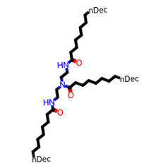 CCCCCCCCCCCCCCCCCC(=O)NCCN(CCNC(=O)CCCCCCCCCCCCCCCCC)C(=O)CCCCCCCCCCCCCCCCC